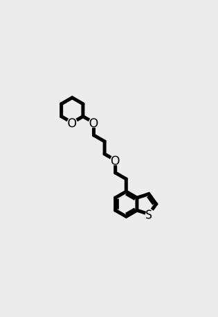 c1cc(CCOCCCOC2CCCCO2)c2ccsc2c1